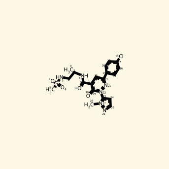 CC(CNS(C)(=O)=O)NC(=O)c1cc(-c2ccc(Cl)cc2)nn(-c2ccnn2C)c1=O